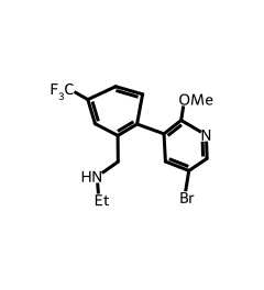 CCNCc1cc(C(F)(F)F)ccc1-c1cc(Br)cnc1OC